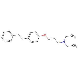 CCN(CC)CCCOc1ccc(CCc2ccccc2)cc1